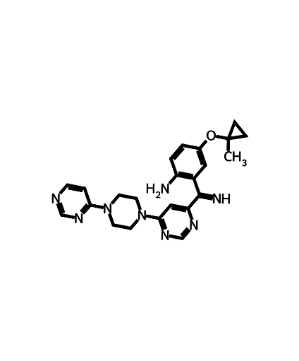 CC1(Oc2ccc(N)c(C(=N)c3cc(N4CCN(c5ccncn5)CC4)ncn3)c2)CC1